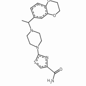 CC(c1ccc2c(c1)OCCO2)N1CCN(c2nc(C(N)=O)cs2)CC1